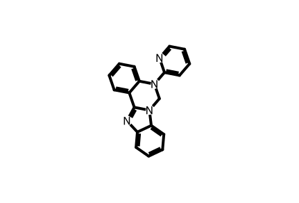 c1ccc(N2Cn3c(nc4ccccc43)-c3ccccc32)nc1